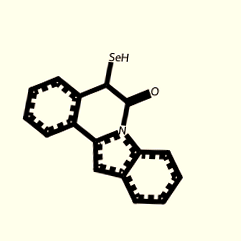 O=C1C([SeH])c2ccccc2-c2cc3ccccc3n21